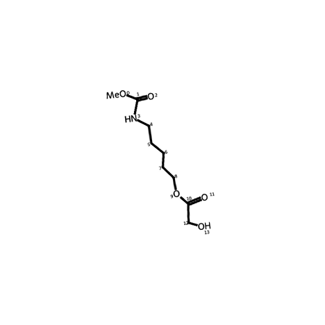 COC(=O)NCCCCCOC(=O)CO